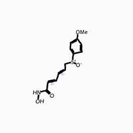 COc1ccc([S+]([O-])C/C=C/C=C/C(=O)NO)cc1